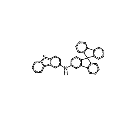 c1ccc2c(c1)-c1ccccc1C21c2ccccc2-c2cc(Nc3ccc4sc5ccccc5c4c3)ccc21